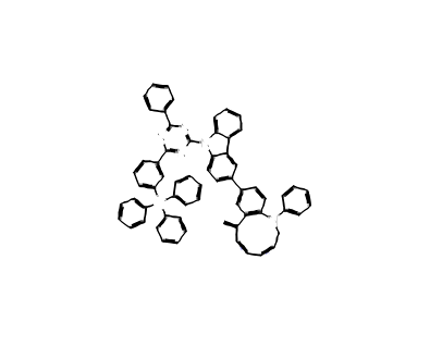 C=C1/C=C\C=C/CN(c2ccccc2)c2ccc(-c3ccc4c(c3)c3ccccc3n4-c3nc(-c4ccccc4)nc(-c4cccc([Si](c5ccccc5)(c5ccccc5)c5ccccc5)c4)n3)cc21